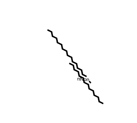 CCCCCCCCCC.CCCCCCCCCCCCCC.CCCCCCCCCCCCCCCC